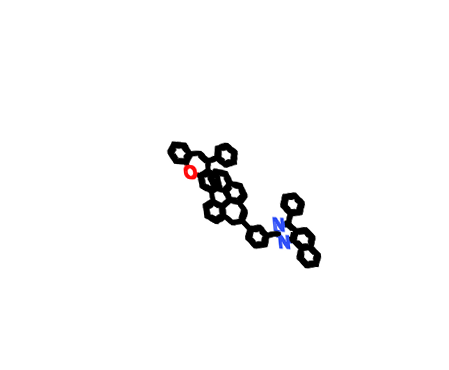 C1=C(c2cccc(-c3nc(-c4ccccc4)c4ccc5ccccc5c4n3)c2)Cc2cccc(-c3ccc4c(c3)Oc3ccccc3C=C4c3ccccc3)c2-c2c1ccc1ccccc21